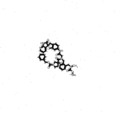 CN(Cc1ccccc1CN(CC(=O)Nc1ccc2c(c1)C[C@@]1(C2)C(=O)Nc2ncccc21)C(=O)C1(C)CCN(C(=O)OCc2ccccc2)C1)C(=O)OC(C)(C)C